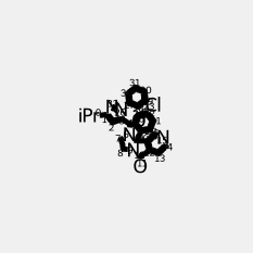 CC(C)c1cc(C(=O)N2CCN3C(=O)c4ccncc4C32c2ccc(Cl)cc2)n(-c2ccccc2)n1